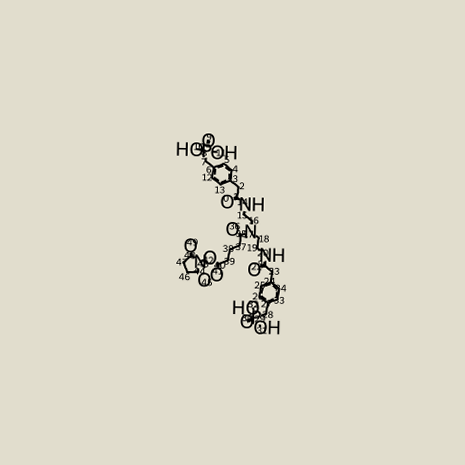 O=C(Cc1ccc(CP(=O)(O)O)cc1)NCCN(CCNC(=O)Cc1ccc(CP(=O)(O)O)cc1)C(=O)CCCC(=O)ON1C(=O)CCC1=O